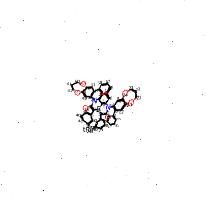 Cc1cc2c3c(c1)N(c1cc4c(cc1-c1ccccc1)OCCCO4)c1oc4ccc(C(C)(C)C)cc4c1B3c1c(oc3ccc(C(C)(C)C)cc13)N2c1cc2c(cc1-c1ccccc1)OCCCO2